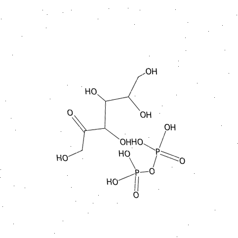 O=C(CO)C(O)C(O)C(O)CO.O=P(O)(O)OP(=O)(O)O